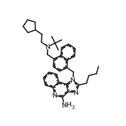 CCCCc1nc2c(N)nc3ccccc3c2n1Cc1ccc(CN(CCC2CCCC2)C(C)(C)C)c2ccccc12